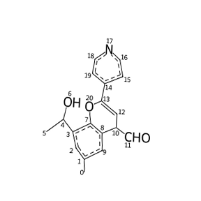 Cc1cc(C(C)O)c2c(c1)C(C=O)C=C(c1ccncc1)O2